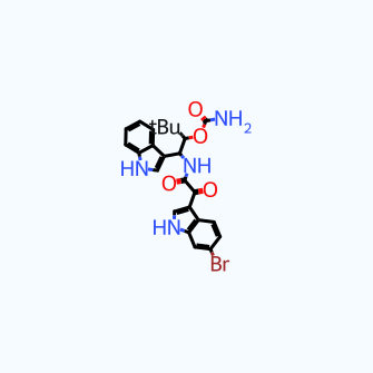 CC(C)(C)C(OC(N)=O)C(NC(=O)C(=O)c1c[nH]c2cc(Br)ccc12)c1c[nH]c2ccccc12